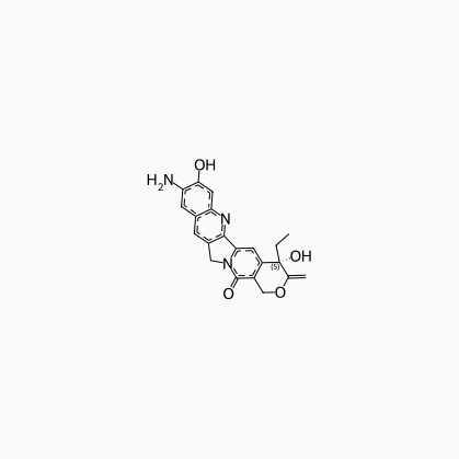 C=C1OCc2c(cc3n(c2=O)Cc2cc4cc(N)c(O)cc4nc2-3)[C@@]1(O)CC